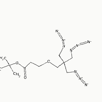 CC(C)(C)OC(=O)CCOCC(CN=[N+]=[N-])(CN=[N+]=[N-])CN=[N+]=[N-]